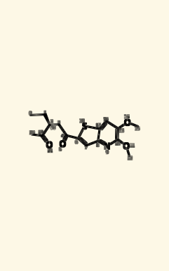 CC[C@@H](CC(=O)c1cc2nc(OC)c(OC)cc2s1)C(C)=O